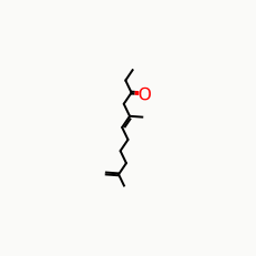 C=C(C)CCC/C=C(\C)CC(=O)CC